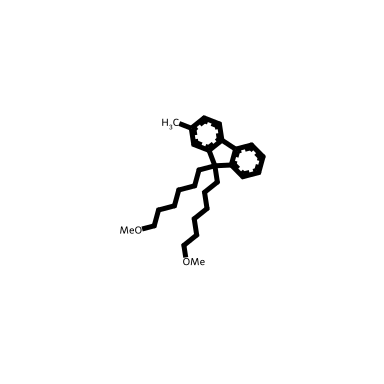 COCCCCCCC1(CCCCCCOC)c2ccccc2-c2ccc(C)cc21